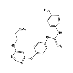 C=C(Nc1ccc(C)cc1)Nc1ccc(Oc2cc(NCCOC)ncn2)cc1